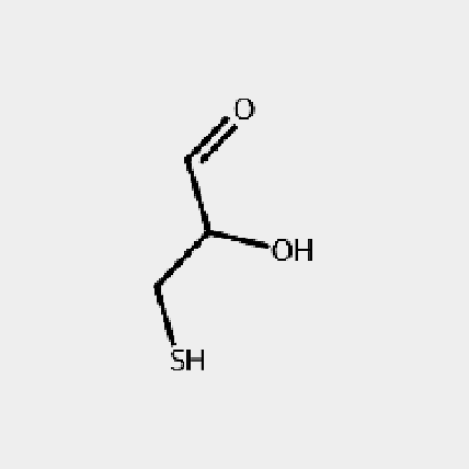 O=CC(O)CS